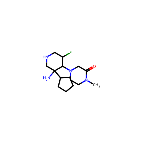 CN1CCN(C2C(F)CNCC2(N)C2CCCC2)CC1=O